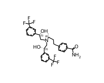 C[C@H](CCc1ccc(C(N)=O)cc1)N(C[C@@H](O)c1cccc(C(F)(F)F)c1)C[C@@H](O)c1cccc(C(F)(F)F)c1